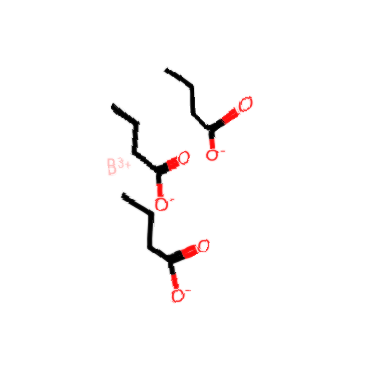 CCCC(=O)[O-].CCCC(=O)[O-].CCCC(=O)[O-].[B+3]